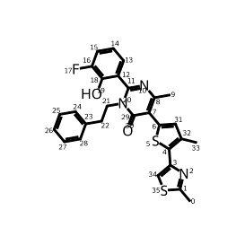 Cc1nc(-c2sc(-c3c(C)nc(-c4cccc(F)c4O)n(CCc4ccccc4)c3=O)cc2C)cs1